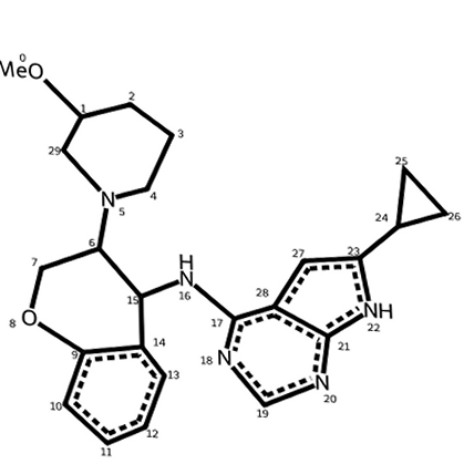 COC1CCCN(C2COc3ccccc3C2Nc2ncnc3[nH]c(C4CC4)cc23)C1